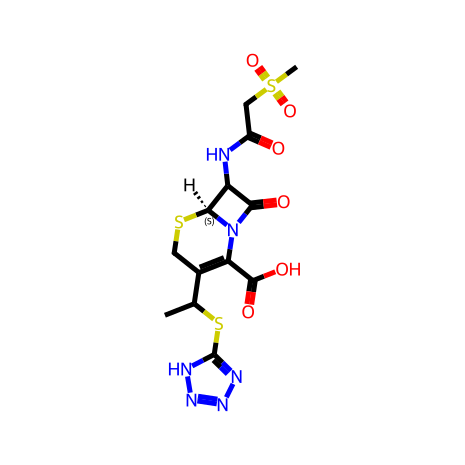 CC(Sc1nnn[nH]1)C1=C(C(=O)O)N2C(=O)C(NC(=O)CS(C)(=O)=O)[C@@H]2SC1